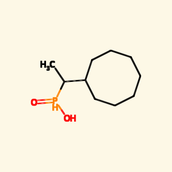 CC(C1CCCCCCC1)[PH](=O)O